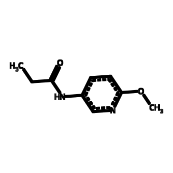 CCC(=O)Nc1ccc(OC)nc1